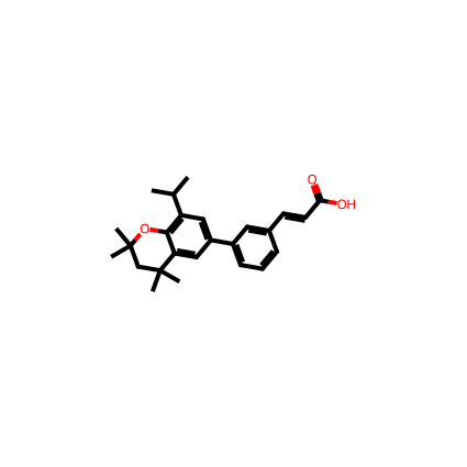 CC(C)c1cc(-c2cccc(/C=C/C(=O)O)c2)cc2c1OC(C)(C)CC2(C)C